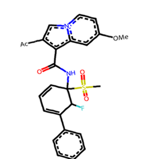 COc1ccn2cc(C(C)=O)c(C(=O)NC3(S(C)(=O)=O)C=CC=C(c4ccccc4)C3F)c2c1